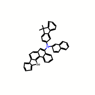 CC1(C)c2ccccc2-c2cc(N(c3ccc4ccccc4c3)c3cc4ccc5c6ccccc6[se]c5c4c4ccccc34)ccc21